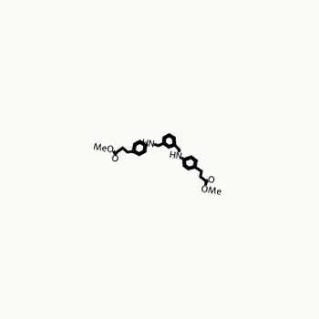 COC(=O)CCc1ccc(NCc2cccc(CNc3ccc(CCC(=O)OC)cc3)c2)cc1